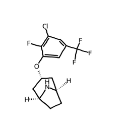 Fc1c(Cl)cc(C(F)(F)F)cc1O[C@@H]1C[C@H]2CC[C@@H](C1)N2